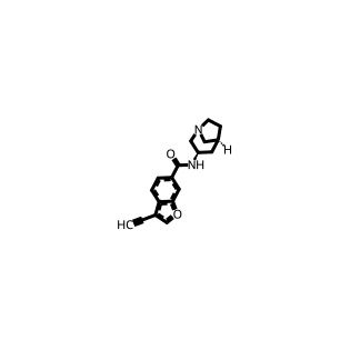 C#Cc1coc2cc(C(=O)N[C@@H]3C[C@@H]4CCN(C4)C3)ccc12